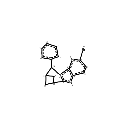 Brc1ccc2nc3n(c2n1)C(c1ccccc1)C1CC3C1